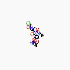 CC1C(n2c(=O)c3cc(S(=O)(=O)NC4(C)CC4)ccc3n(CC3CC3)c2=O)CN1C(=O)CCl